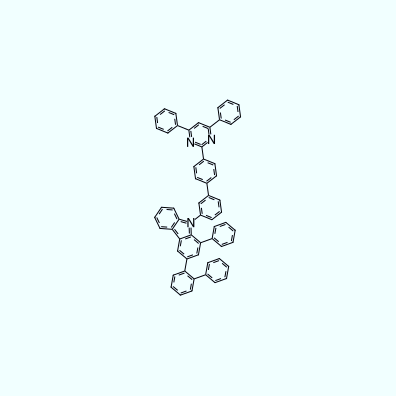 c1ccc(-c2cc(-c3ccccc3)nc(-c3ccc(-c4cccc(-n5c6ccccc6c6cc(-c7ccccc7-c7ccccc7)cc(-c7ccccc7)c65)c4)cc3)n2)cc1